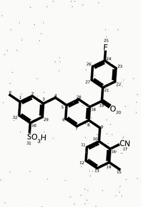 Cc1cc(Cc2ccc(Cc3cccc(C)c3C#N)c(C(=O)c3ccc(F)cc3)c2)cc(S(=O)(=O)O)c1